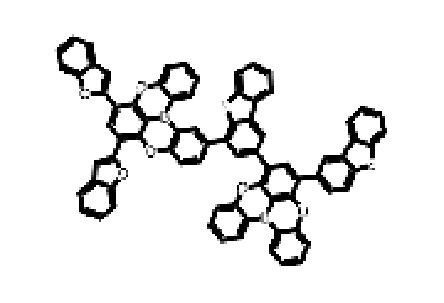 c1ccc2c(c1)Oc1c(-c3ccc4sc5ccccc5c4c3)cc(-c3cc(-c4ccc5c(c4)B4c6ccccc6Oc6c(-c7cc8ccccc8o7)cc(-c7cc8ccccc8o7)c(c64)O5)c4sc5ccccc5c4c3)c3c1B2c1ccccc1O3